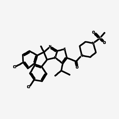 CC(C)C1=C(C(=O)N2CCN(S(C)(=O)=O)CC2)SC2=NC(C)(c3ccc(Cl)cc3)C(c3ccc(Cl)cc3)N21